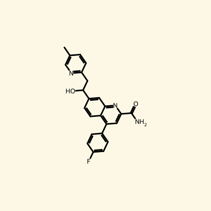 Cc1ccc(CC(O)c2ccc3c(-c4ccc(F)cc4)cc(C(N)=O)nc3c2)nc1